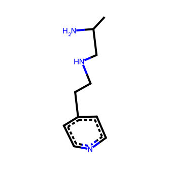 CC(N)CNCCc1ccncc1